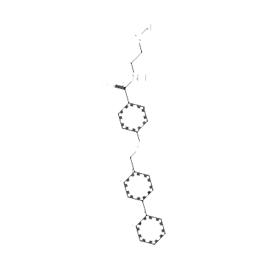 CC(C)NCCNC(=O)c1ccc(OCc2ccc(-c3ccccc3)cc2)cc1